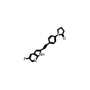 O=C1CCCN1c1ccc(C#Cc2cc3cc(F)cnc3[nH]2)cc1